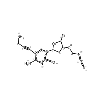 CCC1OC(n2cc(C#CCN)c(N)nc2=O)CC1OCN=[N+]=[N-]